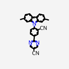 Cc1ccc2c3ccc(C)cc3n(-c3ccc(-c4ncc(C#N)cn4)cc3C#N)c2c1